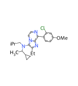 CCc1nc2c(-c3ccc(OC)cc3Cl)nccn2c1N(CC(C)C)C(C)C1CC1